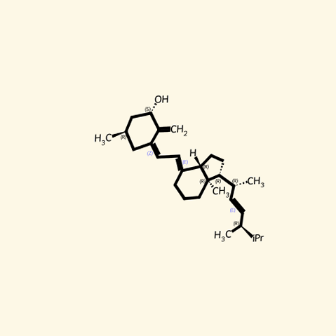 C=C1/C(=C\C=C2/CCC[C@]3(C)[C@@H]([C@H](C)/C=C/[C@H](C)C(C)C)CC[C@@H]23)C[C@@H](C)C[C@@H]1O